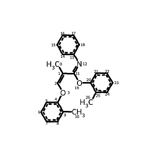 CC(=COc1ccccc1C)C(=Nc1ccccc1)Oc1ccccc1C